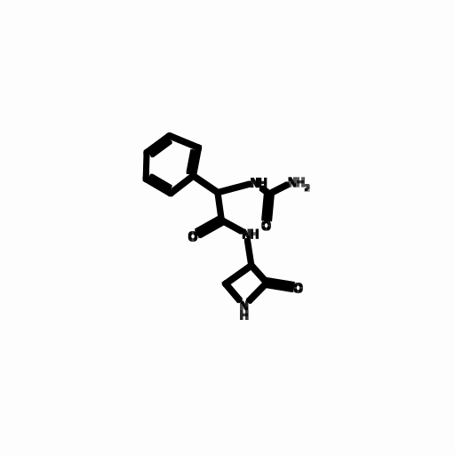 NC(=O)NC(C(=O)NC1CNC1=O)c1ccccc1